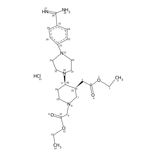 CCOC(=O)C[C@H]1CN(CC(=O)OCC)CC[C@H]1N1CCN(c2ccc(C(=N)N)cc2)CC1.Cl